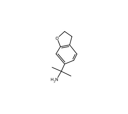 CC(C)(N)c1ccc2c(c1)OCC2